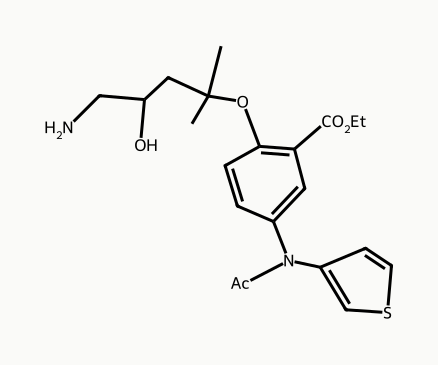 CCOC(=O)c1cc(N(C(C)=O)c2ccsc2)ccc1OC(C)(C)CC(O)CN